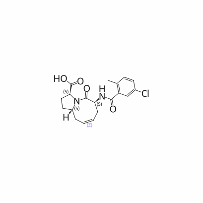 Cc1ccc(Cl)cc1C(=O)N[C@H]1C/C=C\C[C@@H]2CC[C@@H](C(=O)O)N2C1=O